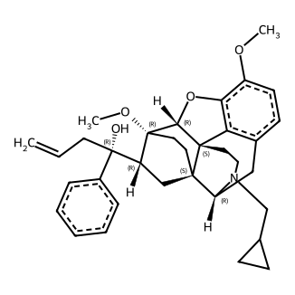 C=CC[C@](O)(c1ccccc1)[C@H]1C[C@@]23CC[C@]1(OC)[C@@H]1Oc4c(OC)ccc5c4[C@@]12CCN(CC1CC1)[C@@H]3C5